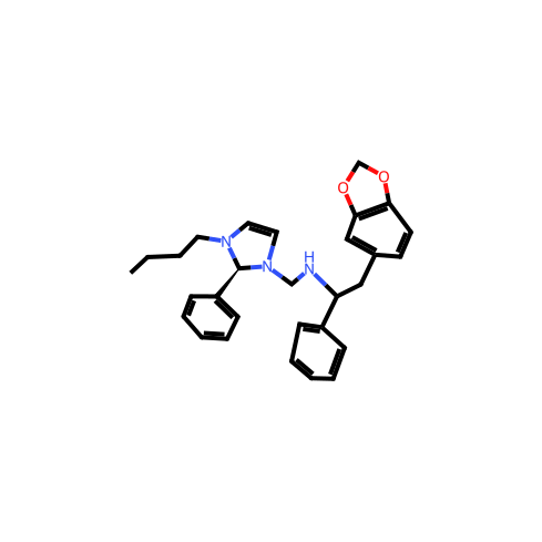 CCCCN1C=CN(CNC(Cc2ccc3c(c2)OCO3)c2ccccc2)[C@H]1c1ccccc1